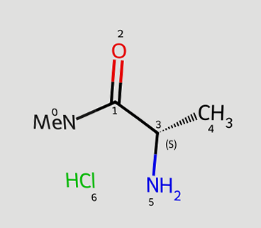 CNC(=O)[C@H](C)N.Cl